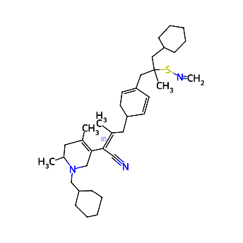 C=NSC(C)(CC1=CCC(C/C(C)=C(\C#N)C2=C(C)CC(C)N(CC3CCCCC3)C2)C=C1)CC1CCCCC1